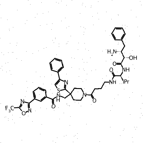 CC(C)[C@H](NC(=O)[C@@H](O)[C@H](N)Cc1ccccc1)C(=O)NCCCC(=O)N1CCC(CNC(=O)c2cccc(-c3noc(C(F)(F)F)n3)c2)(c2nc(-c3ccccc3)cs2)CC1